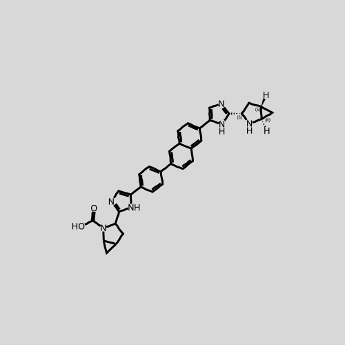 O=C(O)N1C(c2ncc(-c3ccc(-c4ccc5cc(-c6cnc([C@@H]7C[C@@H]8C[C@H]8N7)[nH]6)ccc5c4)cc3)[nH]2)CC2CC21